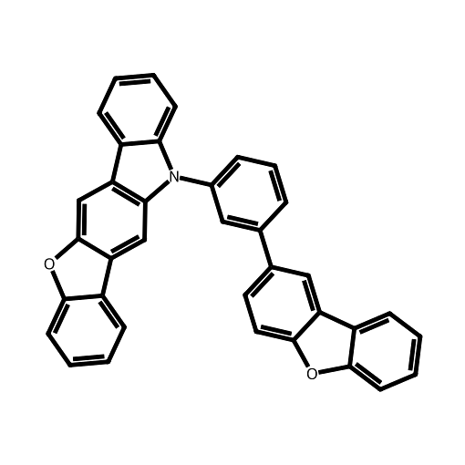 c1cc(-c2ccc3oc4ccccc4c3c2)cc(-n2c3ccccc3c3cc4oc5ccccc5c4cc32)c1